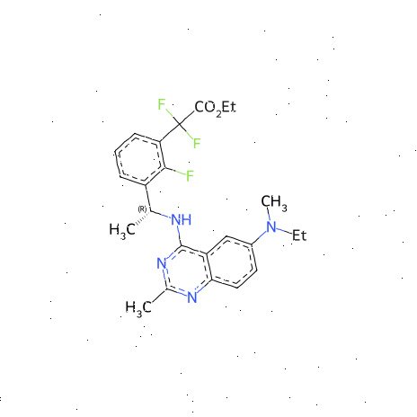 CCOC(=O)C(F)(F)c1cccc([C@@H](C)Nc2nc(C)nc3ccc(N(C)CC)cc23)c1F